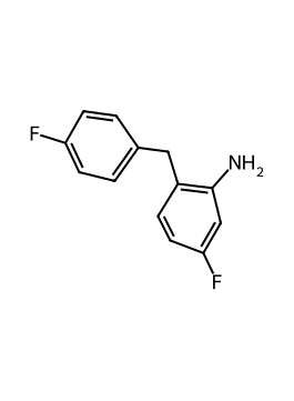 Nc1cc(F)ccc1Cc1ccc(F)cc1